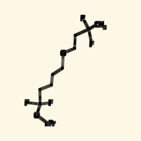 CCCOC(F)(F)CCCCOCCC(C)(F)F